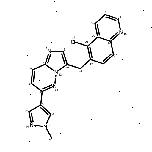 Cn1cc(-c2ccc3ncc(Cc4ccc5ncccc5c4Cl)n3n2)cn1